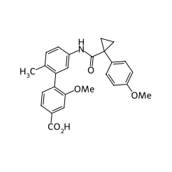 COc1ccc(C2(C(=O)Nc3ccc(C)c(-c4ccc(C(=O)O)cc4OC)c3)CC2)cc1